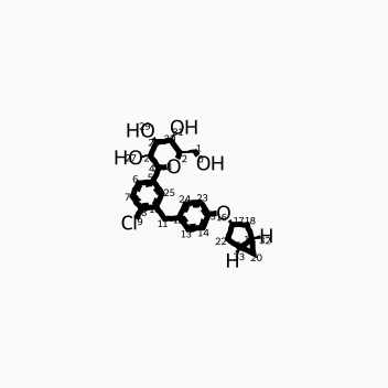 OC[C@H]1OC(c2ccc(Cl)c(Cc3ccc(O[C@H]4C[C@@H]5C[C@@H]5C4)cc3)c2)[C@H](O)[C@@H](O)[C@@H]1O